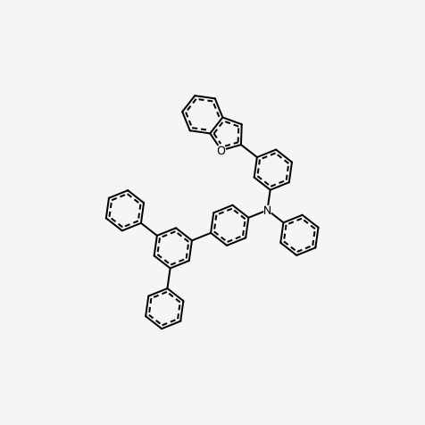 c1ccc(-c2cc(-c3ccccc3)cc(-c3ccc(N(c4ccccc4)c4cccc(-c5cc6ccccc6o5)c4)cc3)c2)cc1